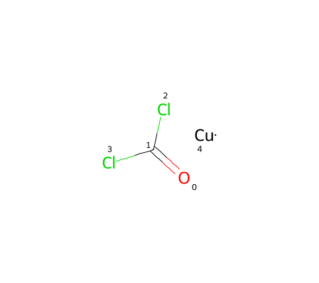 O=C(Cl)Cl.[Cu]